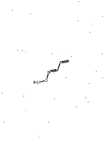 C=C/[C]=N/OO